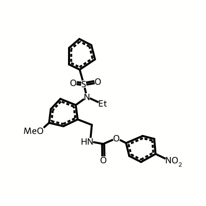 CCN(c1ccc(OC)cc1CNC(=O)Oc1ccc([N+](=O)[O-])cc1)S(=O)(=O)c1ccccc1